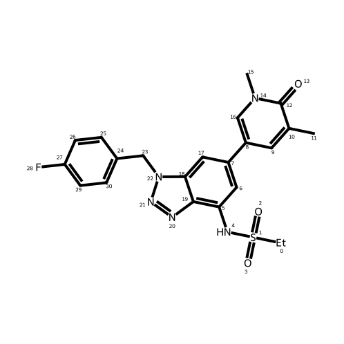 CCS(=O)(=O)Nc1cc(-c2cc(C)c(=O)n(C)c2)cc2c1nnn2Cc1ccc(F)cc1